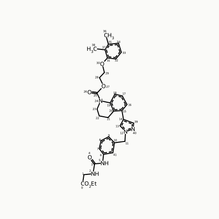 CCOC(=O)CNC(=O)Nc1cccc(Cn2cc(-c3cccc4c3CCCN4C(=O)OCCOc3cccc(C)c3C)cn2)c1